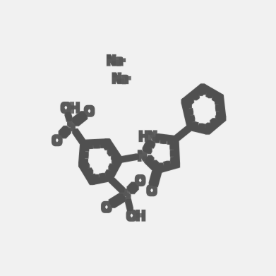 O=c1cc(-c2ccccc2)[nH]n1-c1cc(S(=O)(=O)O)ccc1S(=O)(=O)O.[Na].[Na]